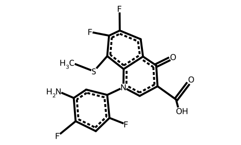 CSc1c(F)c(F)cc2c(=O)c(C(=O)O)cn(-c3cc(N)c(F)cc3F)c12